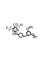 CC(C)Oc1cc(CN2CCC(Nc3ncc(C(=O)O)c(C(F)(F)F)n3)CC2)cc(OC(C)C)c1